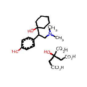 CN(C)CC(c1ccc(O)cc1)C1(O)CCCCC1.O=C(O)CC(O)(CC(=O)O)C(=O)O